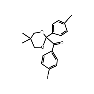 Cc1ccc(C2(C(=O)c3ccc(I)cc3)OCC(C)(C)CO2)cc1